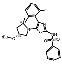 Cc1cccc(C)c1-c1nc(NS(=O)(=O)c2ccccc2)sc1N1C[C@H](OC(C)(C)C)C[C@H]1C